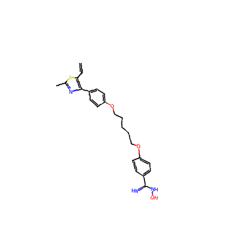 C=Cc1sc(C)nc1-c1ccc(OCCCCCOc2ccc(C(=N)NO)cc2)cc1